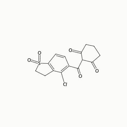 O=C1CCCC(=O)C1C(=O)c1ccc2c(c1Cl)CCS2(=O)=O